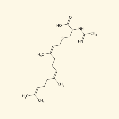 CC(=N)NC(CSCC=C(C)CCC=C(C)CCC=C(C)C)C(=O)O